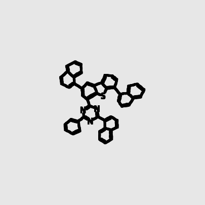 c1ccc(-c2nc(-c3cccc4ccccc34)nc(-c3cc(-c4cccc5ccccc45)cc4c3sc3c(-c5cccc6ccccc56)cccc34)n2)cc1